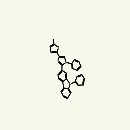 Cc1ccc(-c2cn(-c3ccccc3)c(-c3ccc4c5ccccc5n(-c5ccccc5)c4c3)n2)s1